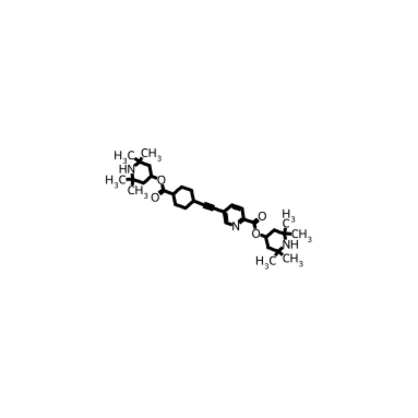 CC1(C)CC(OC(=O)c2ccc(C#CC3CCC(C(=O)OC4CC(C)(C)NC(C)(C)C4)CC3)cn2)CC(C)(C)N1